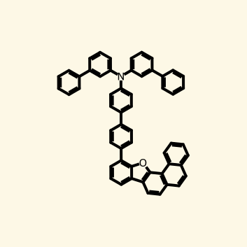 c1ccc(-c2cccc(N(c3ccc(-c4ccc(-c5cccc6c5oc5c6ccc6ccc7ccccc7c65)cc4)cc3)c3cccc(-c4ccccc4)c3)c2)cc1